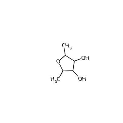 CC1OC(C)C(O)C1O